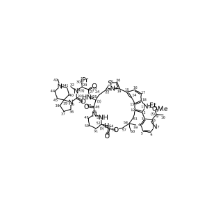 CCn1c(-c2cccnc2[C@H](C)OC)c2c3cc(ccc31)-c1csc(n1)C[C@H](NC(=O)[C@H](C(C)C)N(C)C(=O)N1CCCC13CCN(C)CC3)C(=O)N1CCC[C@H](N1)C(=O)OCC(C)(C)C2